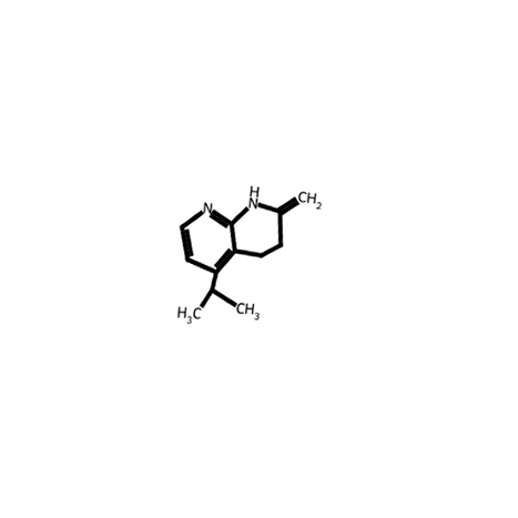 C=C1CCc2c(C(C)C)ccnc2N1